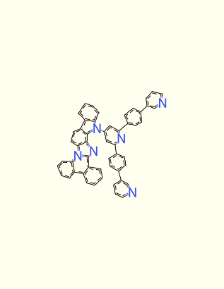 c1cncc(-c2ccc(-c3cc(-n4c5ccccc5c5ccc6c(nc7c8ccccc8c8ccccc8n67)c54)cc(-c4ccc(-c5cccnc5)cc4)n3)cc2)c1